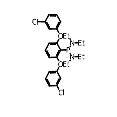 CCN(CC)P(c1c(Oc2cccc(Cl)c2)cccc1Oc1cccc(Cl)c1)N(CC)CC